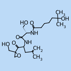 C=C(C)CC(NC(=O)[C@H](CO)NC(=O)CCCCC(C)(C)O)C(=O)C1(CO)CO1